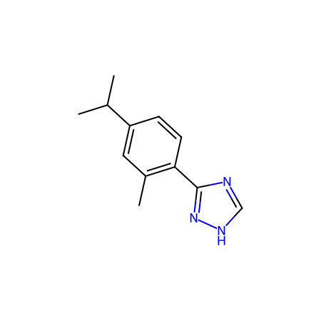 Cc1cc(C(C)C)ccc1-c1nc[nH]n1